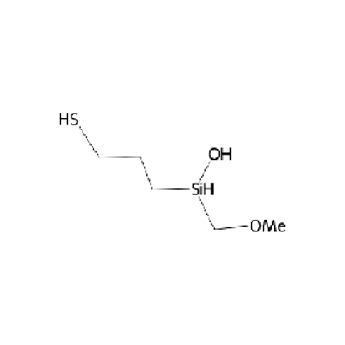 COC[SiH](O)CCCS